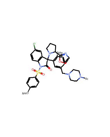 COc1ccc(S(=O)(=O)N2C(=O)C(c3cc(CN4CCN(C(C)=O)CC4)ccc3OC)(N3CCCC3c3ncco3)c3cc(Cl)ccc32)cc1